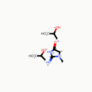 CC(O)C(=O)O.CC(O)C(=O)O.CN1CC(=O)NC1=N